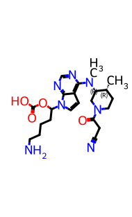 C[C@@H]1CCN(C(=O)CC#N)C[C@@H]1N(C)c1ncnc2c1ccn2C(CCCCN)OC(=O)O